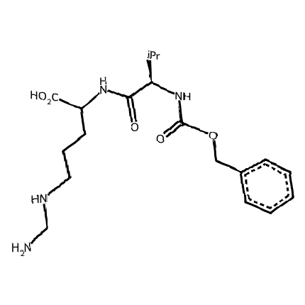 CC(C)[C@@H](NC(=O)OCc1ccccc1)C(=O)NC(CCCNCN)C(=O)O